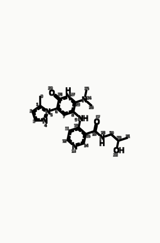 Cc1ccnn1-c1cc(Nc2ccncc2C(=O)NCC(C)O)c(N(C)C)[nH]c1=O